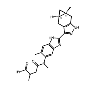 Cc1cc2[nH]c(-c3n[nH]c4c3C[C@@H]3C[C@]3(C)C4)nc2cc1N(C)C(=O)CN(C)C(=O)C(C)C